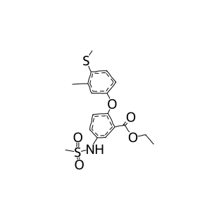 CCOC(=O)c1cc(NS(C)(=O)=O)ccc1Oc1ccc(SC)c(C)c1